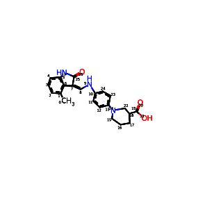 Cc1cccc2c1C(=CNc1ccc(N3CCCC(C(=O)O)C3)cc1)C(=O)N2